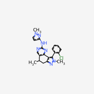 CC1Cc2nn(C)c(-c3ccccc3Cl)c2-c2nc(Nc3ccn(C)n3)ncc21